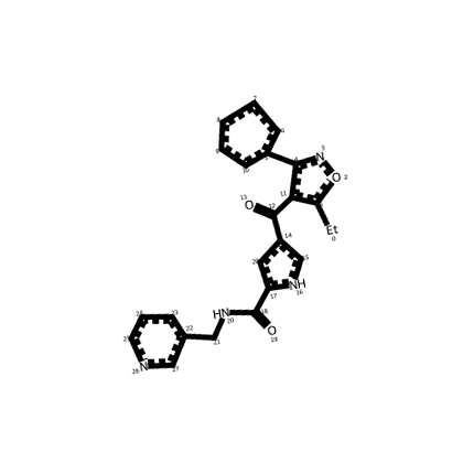 CCc1onc(-c2ccccc2)c1C(=O)c1c[nH]c(C(=O)NCc2cccnc2)c1